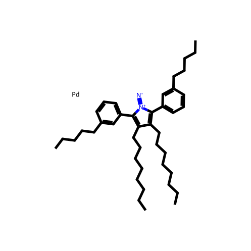 CCCCCCCCC1=C(c2cccc(CCCCC)c2)[N+](=[N-])C(c2cccc(CCCCC)c2)=C1CCCCCCCC.[Pd]